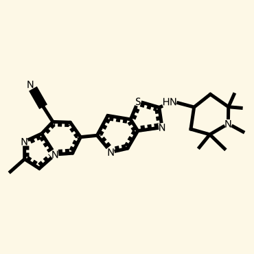 Cc1cn2cc(-c3cc4sc(NC5CC(C)(C)N(C)C(C)(C)C5)nc4cn3)cc(C#N)c2n1